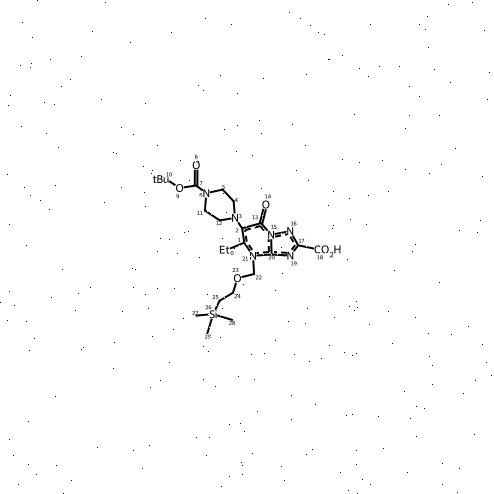 CCc1c(N2CCN(C(=O)OC(C)(C)C)CC2)c(=O)n2nc(C(=O)O)nc2n1COCC[Si](C)(C)C